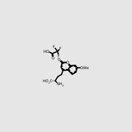 COc1ccc2c(CC[C@H](N)C(=O)O)cc(=O)oc2c1.O=C(O)C(F)(F)F